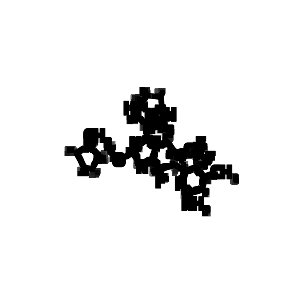 Cc1cc(N)nc(-c2c(Cl)cc3c(N4C[C@@H]5CC[C@@H](C4)N5C)nc(OC[C@@H]4CCCN4C)nc3c2F)c1C(F)(F)F